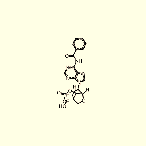 O=C(Nc1ncnc2c1ncn2[C@@H]1O[C@]2(CO)CO[C@@H]1[C@@H]2O[PH](=O)O)c1ccccc1